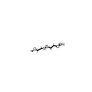 COCCSSCCOO